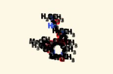 CO[C@]1(C)C[C@H](O[C@H]2[C@H](C)[C@@H](O[C@@H]3O[C@H](C)C[C@H](N(C)C)[C@H]3OCCCNC(=O)CN(C)C)[C@](C)(O)C[C@@H](C)CN(C)C(=O)C[C@@H]3CCCN3C(=O)[C@@H]2C)O[C@@H](C)[C@@H]1C